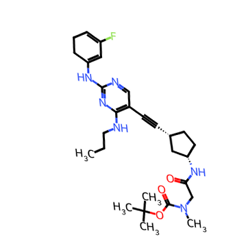 CCCNc1nc(NC2=CC(F)=CCC2)ncc1C#C[C@@H]1CC[C@H](NC(=O)CN(C)C(=O)OC(C)(C)C)C1